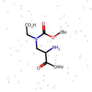 COC(=O)C(N)CN(CC(=O)O)C(=O)OC(C)(C)C